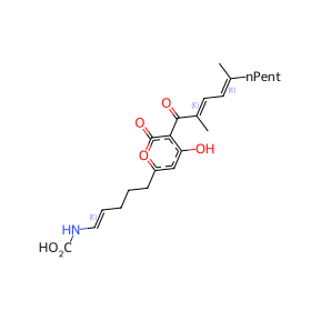 CCCCC/C(C)=C/C=C(\C)C(=O)c1c(O)cc(CCC/C=C/NC(=O)O)oc1=O